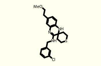 COCCc1ccc2c(c1)N=C(NCc1cccc(Cl)c1)C1(CCSCC1)N2